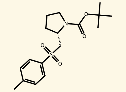 Cc1ccc(S(=O)(=O)C[C@@H]2CCCN2C(=O)OC(C)(C)C)cc1